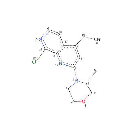 C[C@@H]1COCCN1c1cc(CC#N)c2ccnc(Cl)c2n1